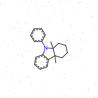 CC12CCCCC1(C)N(c1ccccc1)c1ccccc12